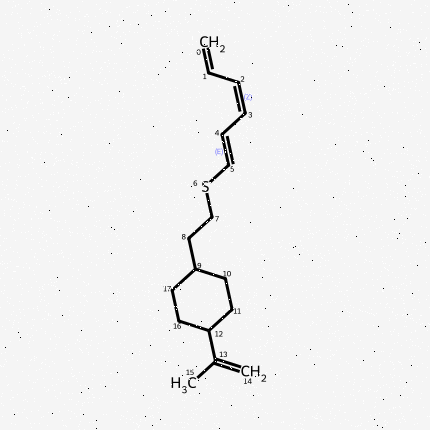 C=C/C=C\C=C\SCCC1CCC(C(=C)C)CC1